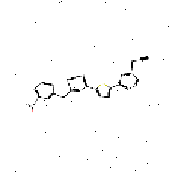 C#CCc1cccc(-c2ccc(-c3cccc(Cc4cccc(C(C)O)c4)c3)s2)c1